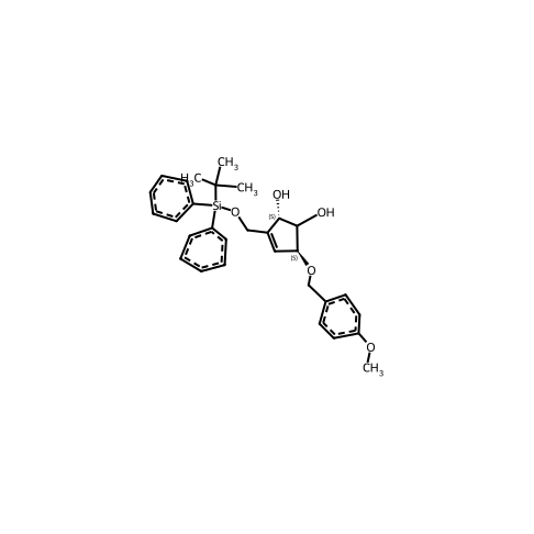 COc1ccc(CO[C@H]2C=C(CO[Si](c3ccccc3)(c3ccccc3)C(C)(C)C)[C@H](O)C2O)cc1